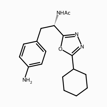 CC(=O)N[C@@H](Cc1ccc(N)cc1)c1nnc(C2CCCCC2)o1